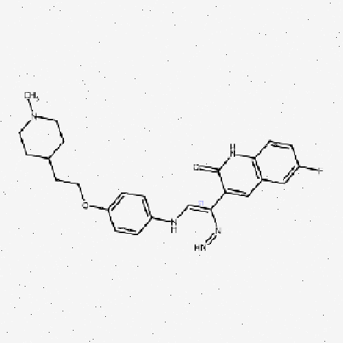 CN1CCC(CCOc2ccc(N/C=C(\N=N)c3cc4cc(F)ccc4[nH]c3=O)cc2)CC1